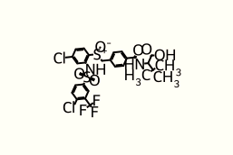 CC(C)(C)C(NC(=O)c1ccc(C[S+]([O-])c2ccc(Cl)cc2NS(=O)(=O)c2ccc(Cl)c(C(F)(F)F)c2)cc1)C(=O)O